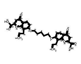 C=CCc1c(OCCCCCOc2ccc3c(=O)cc(C(=O)O)oc3c2CC=C)ccc2c(=O)cc(C(=O)O)oc12